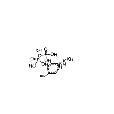 C=Cc1ccccc1.O=P(O)(O)OP(=O)(O)O.[KH].[KH].[KH].[KH]